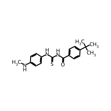 CNc1ccc(NC(=S)NC(=O)c2ccc(C(C)(C)C)cc2)cc1